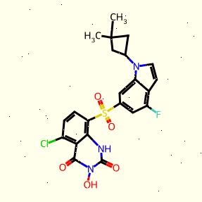 CC1(C)CC(n2ccc3c(F)cc(S(=O)(=O)c4ccc(Cl)c5c(=O)n(O)c(=O)[nH]c45)cc32)C1